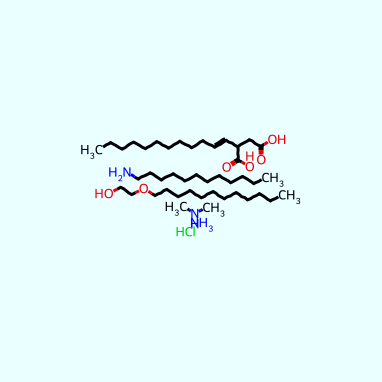 CCCCCCCCCCC=CC(CC(=O)O)C(=O)O.CCCCCCCCCCCCN.CCCCCCCCCCCCOCCO.CNC.Cl.N